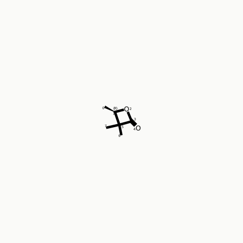 C[C@H]1OC(=O)C1(C)C